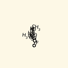 Cc1nnc(CNC(=O)C(c2nc3cc(F)c(-c4ccccc4)cc3s2)S(C)(=O)=O)o1